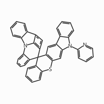 c1ccc(-n2c3ccccc3c3cc4c(cc32)Sc2ccccc2C42c3ccccc3-n3c4ccccc4c4cccc2c43)nc1